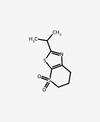 CC(C)c1nc2c(s1)S(=O)(=O)CCC2